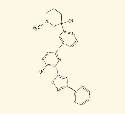 CN1CCCC(C#N)(c2cc(-c3cnc(N)c(-c4cc(-c5ccccc5)no4)n3)ccn2)C1